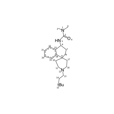 CN(C)C(=O)NC1CCC2(CCN(CCC(C)(C)C)CC2)c2ccccc21